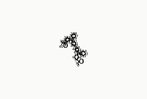 C=CC(=O)c1cccc(N(c2ccccc2)c2ccc(-c3ccc(N(c4ccccc4)c4cccc(C(=O)C(=C)C)c4)cc3)cc2)c1